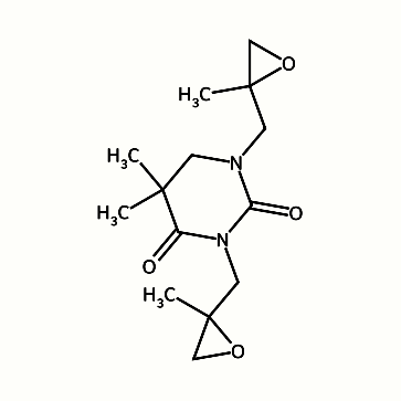 CC1(CN2CC(C)(C)C(=O)N(CC3(C)CO3)C2=O)CO1